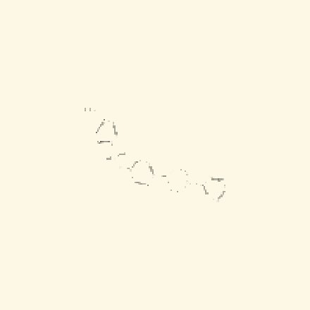 COc1ccc(S(=O)(=O)Nc2cnc(N3CCN(c4ccccn4)CC3)c(Cl)c2)cc1